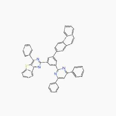 c1ccc(-c2cc(-c3ccccc3)nc(-c3cc(-c4ccc5c(ccc6ccccc65)c4)cc(-c4nc(-c5ccccc5)c5sc6ccccc6c5n4)c3)n2)cc1